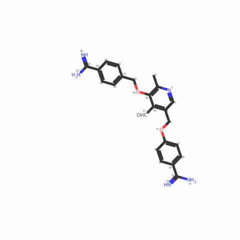 Cc1ncc(COc2ccc(C(=N)N)cc2)c(C=O)c1OCc1ccc(C(=N)N)cc1